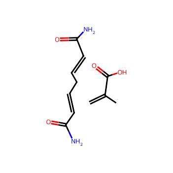 C=C(C)C(=O)O.NC(=O)C=CCC=CC(N)=O